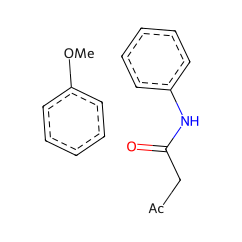 CC(=O)CC(=O)Nc1ccccc1.COc1ccccc1